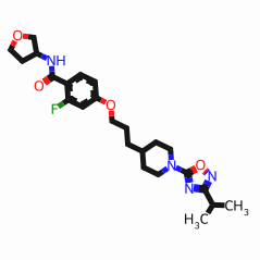 CC(C)c1noc(N2CCC(CCCOc3ccc(C(=O)NC4CCOC4)c(F)c3)CC2)n1